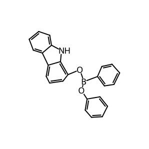 c1ccc(OB(Oc2cccc3c2[nH]c2ccccc23)c2ccccc2)cc1